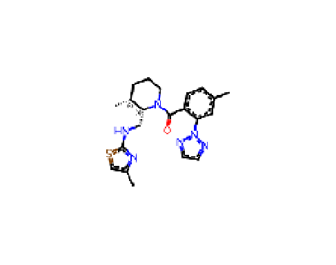 Cc1ccc(C(=O)N2CCC[C@@H](C)[C@H]2CNc2nc(C)cs2)c(-n2nccn2)c1